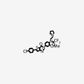 COc1cc(-n2cnc3cc(-c4ccc(Cl)cc4)sc3c2=O)ccc1N(CCN1CCCC1)C(=O)C(F)(F)F